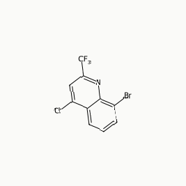 FC(F)(F)c1cc(Cl)c2cccc(Br)c2n1